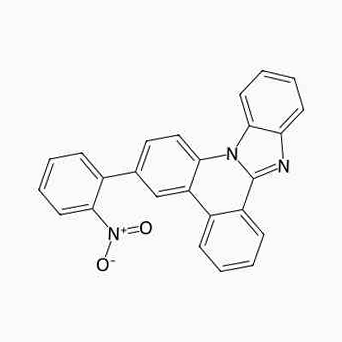 O=[N+]([O-])c1ccccc1-c1ccc2c(c1)c1ccccc1c1nc3ccccc3n21